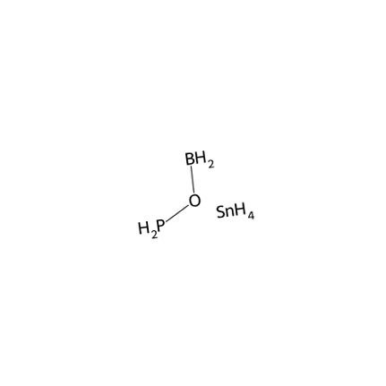 BOP.[SnH4]